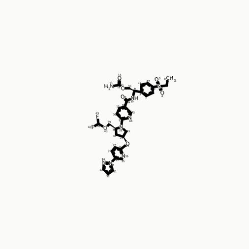 CCS(=O)(=O)c1ccc([C@H](COC(N)=O)NC(=O)c2ccc(N3C[C@@H](Oc4ccc(-n5cccn5)cn4)C[C@H]3COC(F)F)nc2)cc1